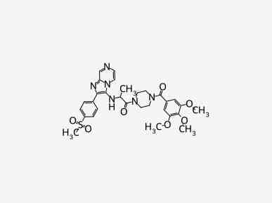 COc1cc(C(=O)N2CCN(C(=O)C(C)Nc3c(-c4ccc(S(C)(=O)=O)cc4)nc4cnccn34)CC2)cc(OC)c1OC